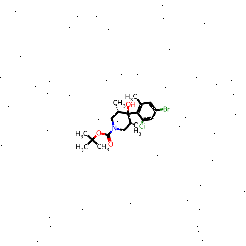 Cc1cc(Br)cc(Cl)c1C1(O)[C@H](C)CN(C(=O)OC(C)(C)C)C[C@@H]1C